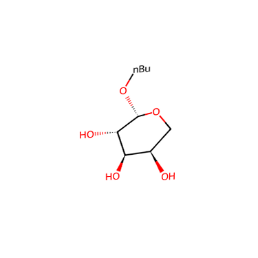 CCCCO[C@@H]1OC[C@@H](O)[C@@H](O)[C@@H]1O